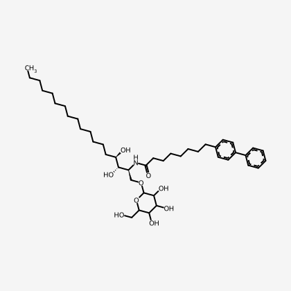 CCCCCCCCCCCCCC[C@@H](O)[C@@H](O)[C@H](COC1OC(CO)C(O)C(O)C1O)NC(=O)CCCCCCCc1ccc(-c2ccccc2)cc1